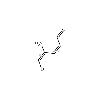 C=C/C=C\C(N)=C/CC